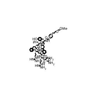 COCCOCCCN1CCN(CC(=O)N[C@@H](Cc2ccc(O)cc2)C(=O)C[C@@H](Cc2c[nH]c3ccccc23)C(=O)N[C@@H](CC(C)C)C(=O)C[C@@H](Cc2ccccc2)C(=O)N[C@@H](CCCNC(=N)N)C(=O)C[C@@H](C)C(=O)N[C@@H](CCCNC(=N)N)C(=O)N[C@@H](CC(N)=O)C(N)=O)CC1